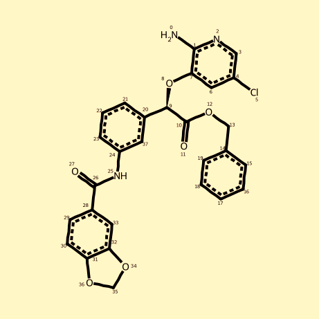 Nc1ncc(Cl)cc1O[C@@H](C(=O)OCc1ccccc1)c1cccc(NC(=O)c2ccc3c(c2)OCO3)c1